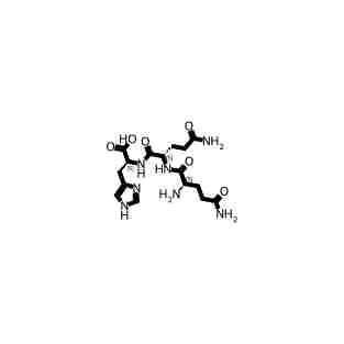 NC(=O)CC[C@H](NC(=O)[C@@H](N)CCC(N)=O)C(=O)N[C@@H](Cc1c[nH]cn1)C(=O)O